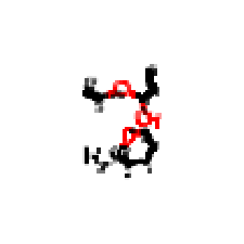 C1CC[SiH2]OC1.C=CC(O)OCC